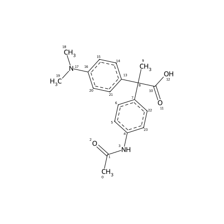 CC(=O)Nc1ccc(C(C)(C(=O)O)c2ccc(N(C)C)cc2)cc1